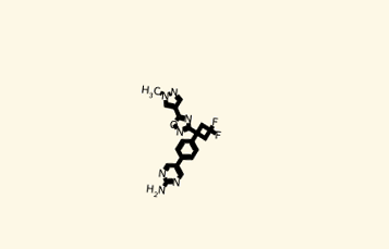 Cn1cc(-c2nc(C3(c4ccc(-c5cnc(N)nc5)cc4)CC(F)(F)C3)no2)cn1